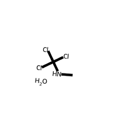 CNC(Cl)(Cl)Cl.O